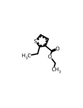 CCOC(=O)c1ccsc1CC